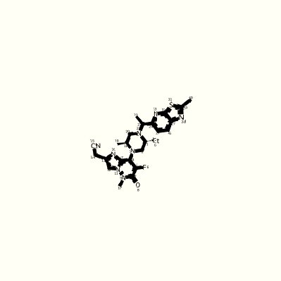 CC[C@@H]1CN(c2c(F)c(=O)n(C)n3cc(CC#N)nc23)[C@@H](C)CN1C(C)c1ccc2nc(C)sc2n1